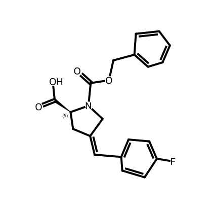 O=C(O)[C@@H]1CC(=Cc2ccc(F)cc2)CN1C(=O)OCc1ccccc1